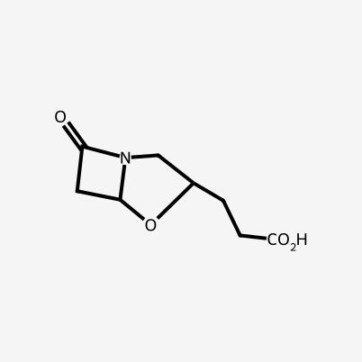 O=C(O)CCC1CN2C(=O)CC2O1